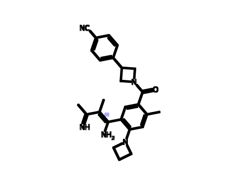 CC(=N)/C(C)=C(\N)c1cc(C(=O)N2CC(c3ccc(C#N)cc3)C2)c(C)cc1N1CCC1